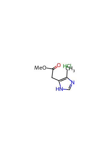 COC(=O)Cc1[nH]cnc1C.Cl